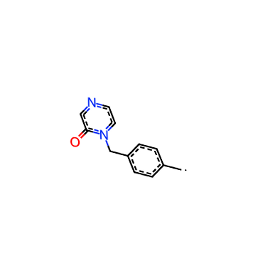 [CH2]c1ccc(Cn2ccncc2=O)cc1